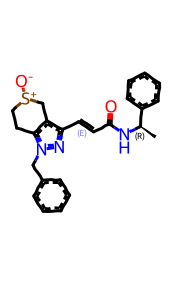 C[C@@H](NC(=O)/C=C/c1nn(Cc2ccccc2)c2c1C[S+]([O-])CC2)c1ccccc1